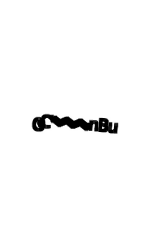 CCCCCCCCCC=C=O